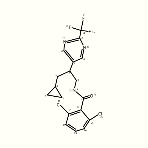 O=C(NCC(CC1CC1)c1cnc(C(F)(F)F)nc1)c1c(Cl)cccc1Cl